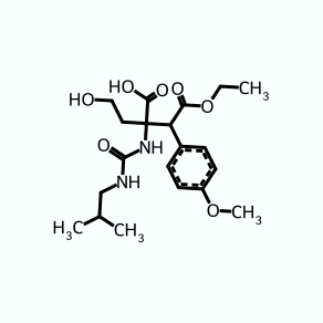 CCOC(=O)C(c1ccc(OC)cc1)C(CCO)(NC(=O)NCC(C)C)C(=O)O